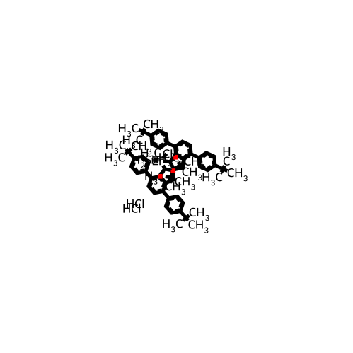 CC(C)(C)C1=Cc2c(-c3ccc(C(C)(C)C)cc3)ccc(-c3ccc(C(C)(C)C)cc3)c2[CH]1[Zr]([CH3])([CH3])(=[SiH2])[CH]1C(C(C)(C)C)=Cc2c(-c3ccc(C(C)(C)C)cc3)ccc(-c3ccc(C(C)(C)C)cc3)c21.Cl.Cl